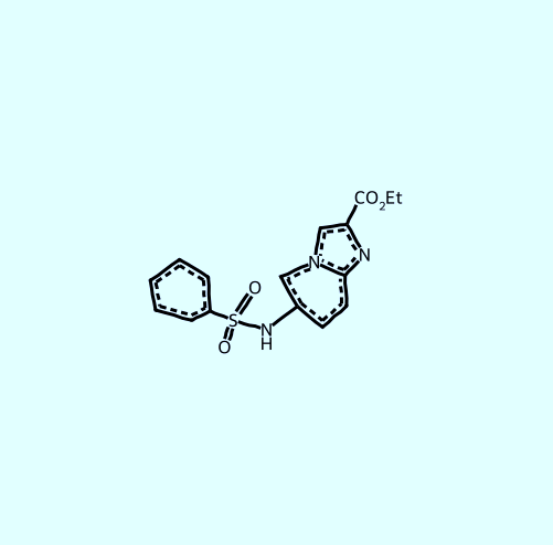 CCOC(=O)c1cn2cc(NS(=O)(=O)c3ccccc3)ccc2n1